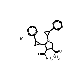 Cl.NC(=O)C1CN(C2CC2c2ccccc2)C(C2CC2c2ccccc2)C1C(N)=O